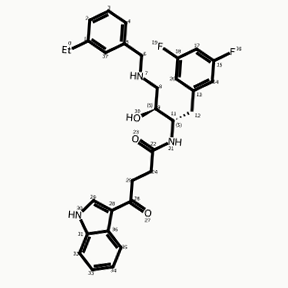 CCc1cccc(CNC[C@H](O)[C@H](Cc2cc(F)cc(F)c2)NC(=O)CCC(=O)c2c[nH]c3ccccc23)c1